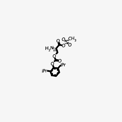 CC(C)c1cccc(C(C)C)c1OC(=O)OC[C@H](N)C(=O)OS(C)(=O)=O